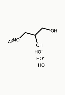 OCC(O)CO.[Al+3].[OH-].[OH-].[OH-]